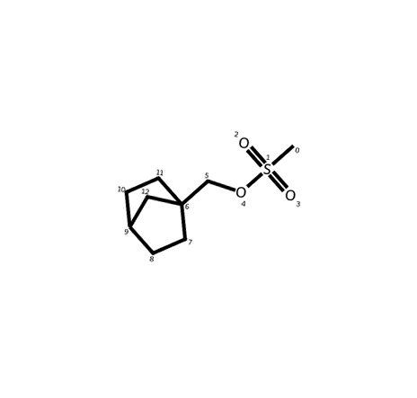 CS(=O)(=O)OCC12CCC(CC1)C2